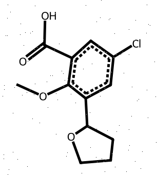 COc1c(C(=O)O)cc(Cl)cc1C1CCCO1